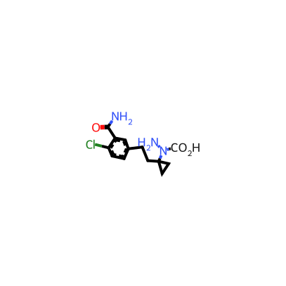 NC(=O)c1cc(CCC2(N(N)C(=O)O)CC2)ccc1Cl